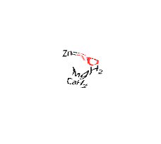 [CaH2].[MgH2].[O]=[Zn]